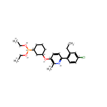 [CH2]Cc1cc(Cl)ccc1-c1ccc(OC2CCCC(P(OCC)OCC)C2)c(C)n1